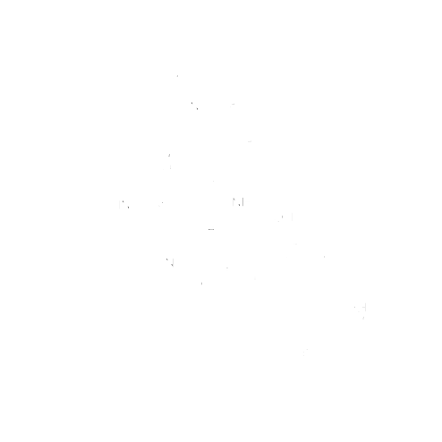 CCNC(=O)c1noc(-c2cc(Cl)c(O)cc2O)c1NC1CCN(C)CC1